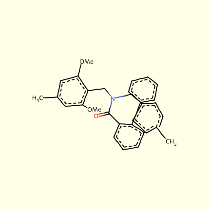 COc1cc(C)cc(OC)c1CN(Cc1ccc(C)cc1)C(=O)c1ccccc1-c1ccccc1